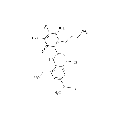 CCCCc1c(C(=O)Nc2c(CC)cc(C(C)C)cc2CC)c(=O)c(C)c(C)n1C